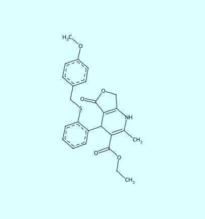 CCOC(=O)C1=C(C)NC2=C(C(=O)OC2)C1c1ccccc1SCc1ccc(OC)cc1